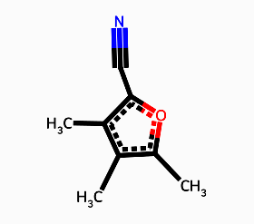 Cc1oc(C#N)c(C)c1C